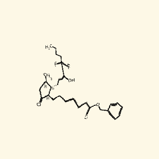 CCCCC(F)(F)C(O)CC[C@H]1[C@H](C)CC(=O)[C@@H]1CCCCCCC(=O)OCc1ccccc1